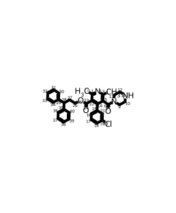 Cc1nc(C)c(C(=O)N2CCNCC2)c(-c2cccc(Cl)c2)c1C(=O)OCCC(c1ccccc1)c1ccccc1